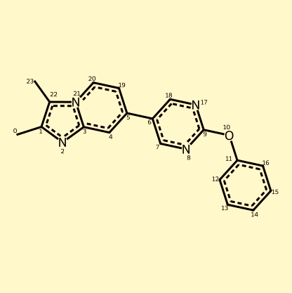 Cc1nc2cc(-c3cnc(Oc4ccccc4)nc3)ccn2c1C